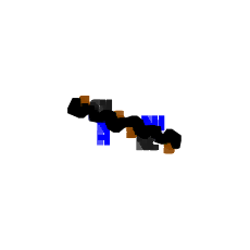 N#C/C(=C\c1cc2sc(-c3cc4[nH]c(/C=C(\C#N)c5cccs5)cc4s3)cc2[nH]1)c1cccs1